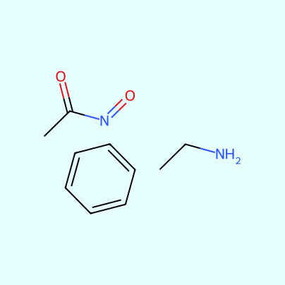 CC(=O)N=O.CCN.c1ccccc1